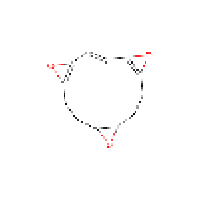 C1=C/C2=C(CCC3OC3CCC3=C/1O3)O2